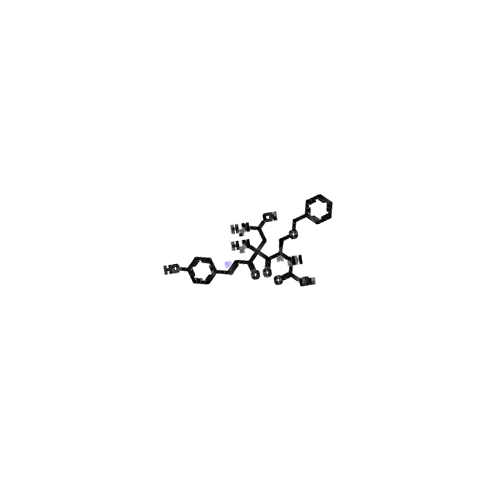 CC(C)(C)C(=O)N[C@H](COCc1ccccc1)C(=O)C(N)(CC(N)C#N)C(=O)/C=C/c1ccc(O)cc1